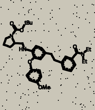 CCN(CC)C(=O)c1cccc(CCc2ccc(NCC3CCCN3C(=O)OC(C)(C)C)c(Oc3ccc(OC)cc3)c2)c1